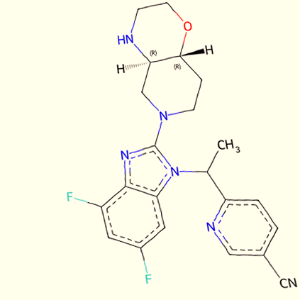 CC(c1ccc(C#N)cn1)n1c(N2CC[C@H]3OCCN[C@@H]3C2)nc2c(F)cc(F)cc21